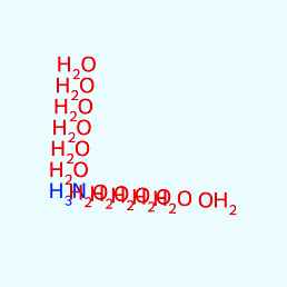 N.O.O.O.O.O.O.O.O.O.O.O.O